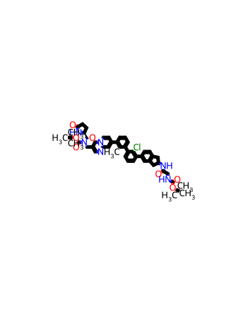 Cc1c(-c2ccn3c(=O)c(CN(C[C@@H]4CCC(=O)N4)C(=O)OC(C)(C)C)cnc3c2)cccc1-c1cccc(-c2ccc3c(c2)CC(NC(=O)CNC(=O)OC(C)(C)C)C3)c1Cl